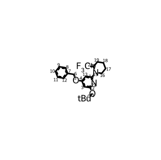 CC(C)(C)Oc1cc(OCc2ccccc2)cc(N2CCCC[C@@H]2C(F)(F)F)n1